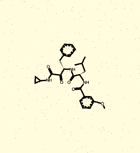 COc1cccc(C(=O)N[C@@H](CC(C)C)C(=O)N[C@@H](Cc2ccccc2)C(=O)C(=O)NC2CC2)c1